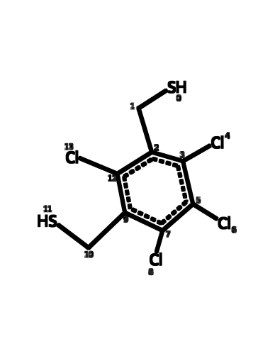 SCc1c(Cl)c(Cl)c(Cl)c(CS)c1Cl